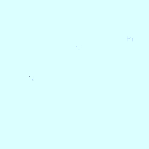 C[N+]1(CCOCCBr)CCCC1